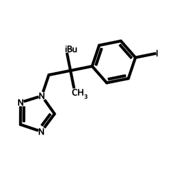 CCC(C)C(C)(Cn1cncn1)c1ccc(I)cc1